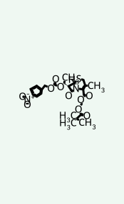 CC1=C(C(=O)OCOC(=O)C(C)(C)C)N2C(=O)[C@H](C(C)OC(=O)OCc3ccc([N+](=O)[O-])cc3)[C@@H]2SC1